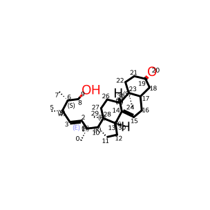 C[C@H](/C=C/[C@H](C)[C@H](C)CO)[C@H]1CC[C@H]2C3=CCC4CC(=O)CC[C@]4(C)[C@H]3CC[C@]12C